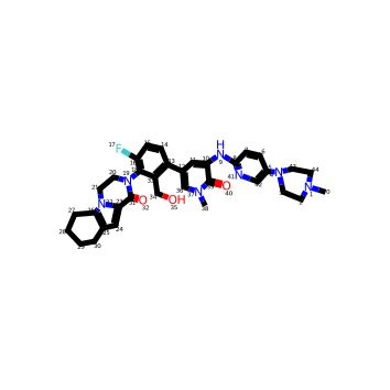 CN1CCN(c2ccc(Nc3cc(-c4ccc(F)c(N5CCn6c(cc7c6CCCC7)C5=O)c4CO)cn(C)c3=O)nc2)CC1